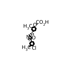 Cc1cc(-n2cnn(CSc3ccc(OCC(=O)O)c(C)c3)c2=O)ccc1Cl